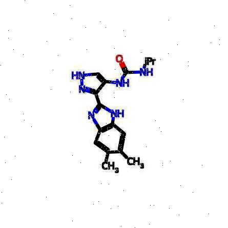 Cc1cc2nc(-c3n[nH]cc3NC(=O)NC(C)C)[nH]c2cc1C